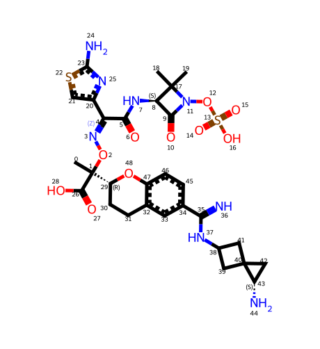 CC(O/N=C(\C(=O)N[C@@H]1C(=O)N(OS(=O)(=O)O)C1(C)C)c1csc(N)n1)(C(=O)O)[C@H]1CCc2cc(C(=N)NC3CC4(C3)C[C@@H]4N)ccc2O1